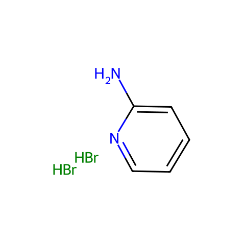 Br.Br.Nc1ccccn1